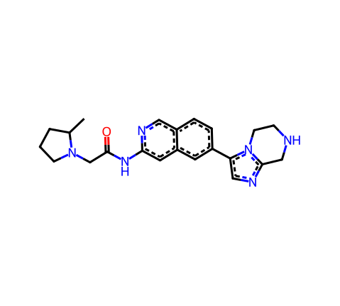 CC1CCCN1CC(=O)Nc1cc2cc(-c3cnc4n3CCNC4)ccc2cn1